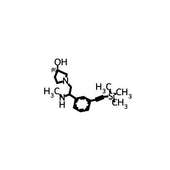 CNC(CN1CC[C@@H](O)C1)c1cccc(C#C[Si](C)(C)C)c1